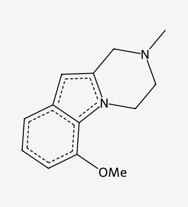 COc1cccc2cc3n(c12)CCN(C)C3